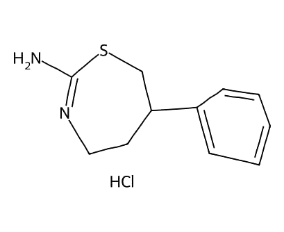 Cl.NC1=NCCC(c2ccccc2)CS1